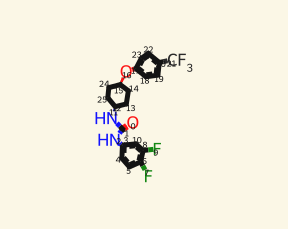 O=C(Nc1ccc(F)c(F)c1)N[C@H]1CC[C@H](Oc2ccc(C(F)(F)F)cc2)CC1